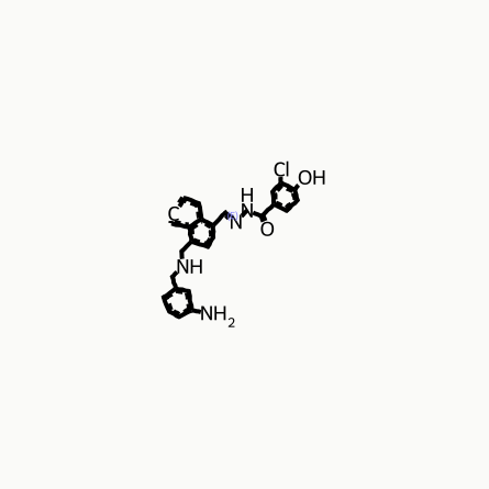 Nc1cccc(CNCc2ccc(/C=N/NC(=O)c3ccc(O)c(Cl)c3)c3ccccc23)c1